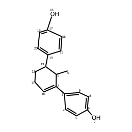 CC1C(c2ccc(O)cc2)=CCCC1c1ccc(O)cc1